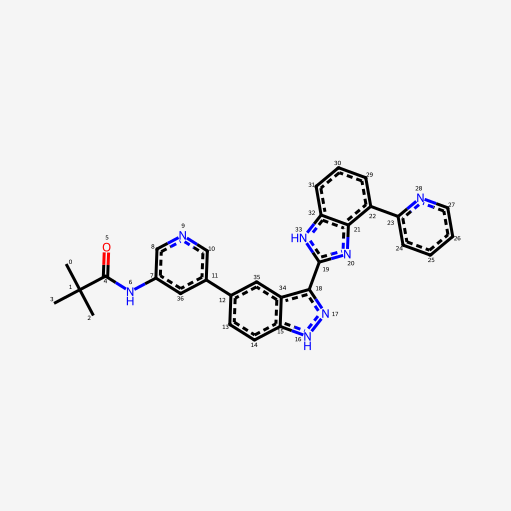 CC(C)(C)C(=O)Nc1cncc(-c2ccc3[nH]nc(-c4nc5c(-c6ccccn6)cccc5[nH]4)c3c2)c1